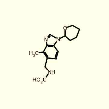 Cc1c(CNC(=O)O)ccc2c1ncn2C1CCCCO1